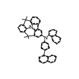 CC1(C)c2cccc3c2-n2c4c1cccc4c1cc(N(c4ccc(-c5cccc6ccccc56)cc4)c4cccc5ccccc45)cc(c12)C3(C)C